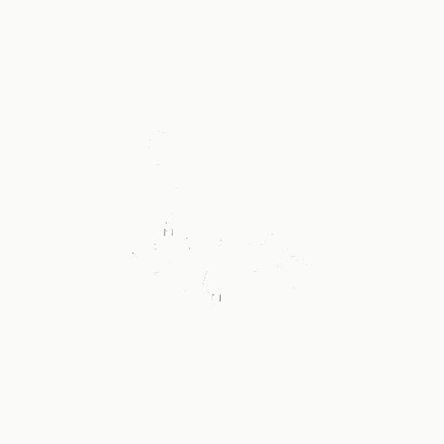 c1ccc(-c2ccc(N(c3ccc(-c4ccc5c(ccc6ccccc65)c4)cc3)c3cccc4oc5c6cccnc6ccc5c34)cc2)cc1